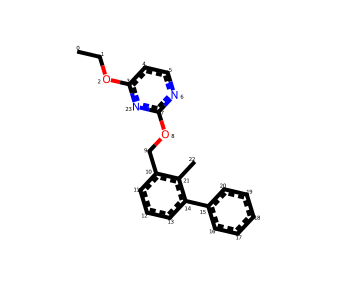 CCOc1ccnc(OCc2cccc(-c3ccccc3)c2C)n1